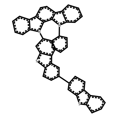 c1ccc(-n2c3ccccc3c3ccc4c5ccccc5n(-c5ccc6c(c5)sc5ccc(-c7ccc8c(c7)sc7ccccc78)cc56)c4c32)cc1